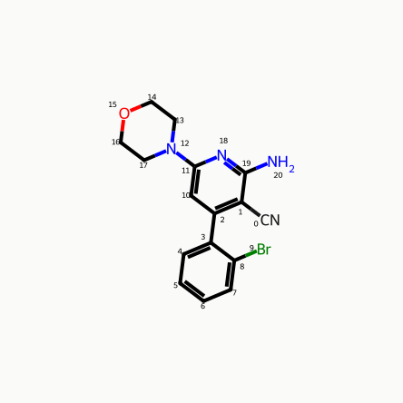 N#Cc1c(-c2ccccc2Br)cc(N2CCOCC2)nc1N